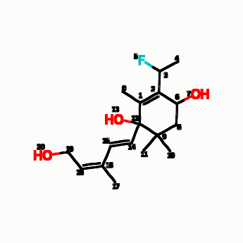 CC1=C(C(C)F)C(O)CC(C)(C)C1(O)/C=C/C(C)=C\CO